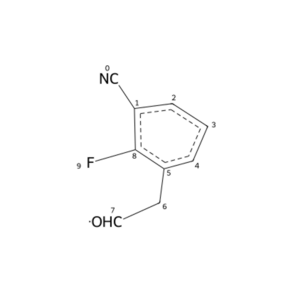 N#Cc1cccc(C[C]=O)c1F